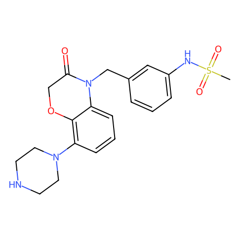 CS(=O)(=O)Nc1cccc(CN2C(=O)COc3c(N4CCNCC4)cccc32)c1